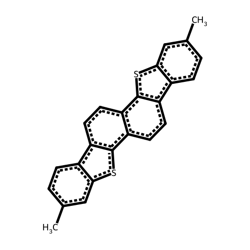 Cc1ccc2c(c1)sc1c2ccc2c1ccc1c3ccc(C)cc3sc12